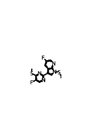 CSc1nc(-c2cn(SI)c3ncc(F)cc23)ncc1F